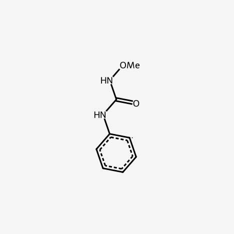 CONC(=O)Nc1[c]cccc1